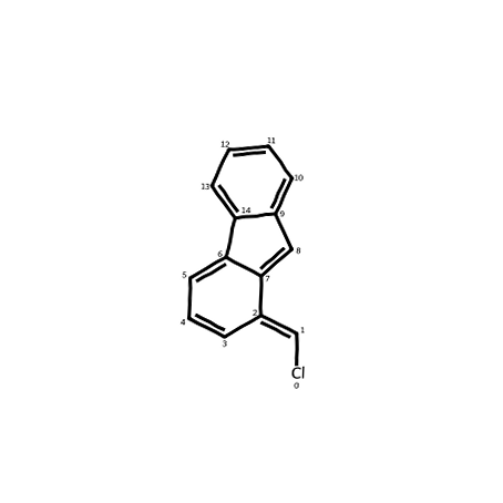 ClC=c1cccc2c1=Cc1ccccc1-2